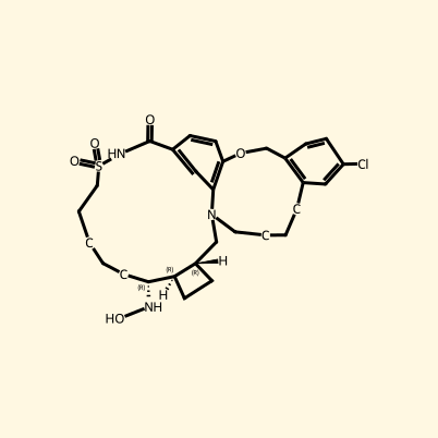 O=C1NS(=O)(=O)CCCCC[C@@H](NO)[C@@H]2CC[C@H]2CN2CCCCc3cc(Cl)ccc3COc3ccc1cc32